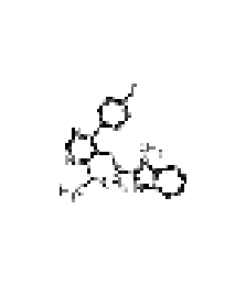 CC(C)c1ncnc(-c2ccc(F)cc2)c1CSc1nc2ccccc2n1C